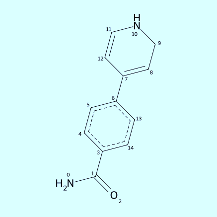 NC(=O)c1ccc(C2=CCNC=C2)cc1